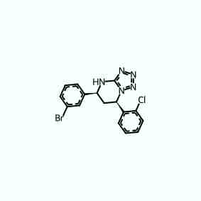 Clc1ccccc1[C@H]1C[C@@H](c2cccc(Br)c2)Nc2nnnn21